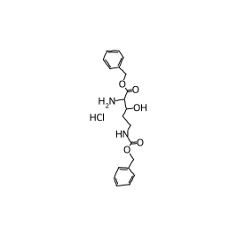 Cl.NC(C(=O)OCc1ccccc1)C(O)CCNC(=O)OCc1ccccc1